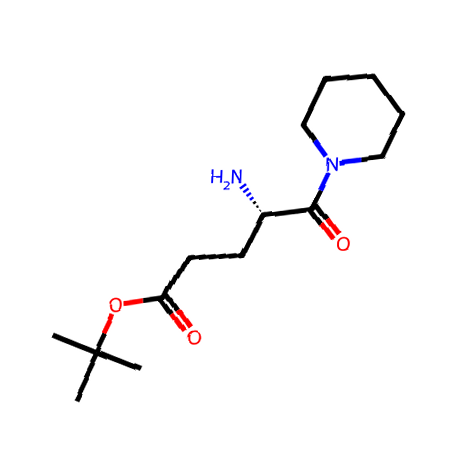 CC(C)(C)OC(=O)CC[C@H](N)C(=O)N1CCCCC1